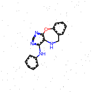 c1ccc(Nc2ncnc3c2NCc2ccccc2O3)cc1